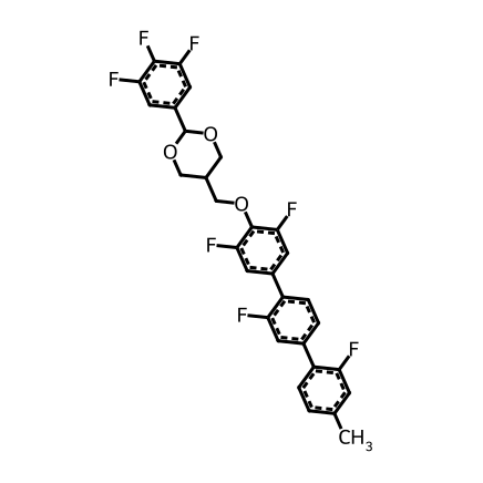 Cc1ccc(-c2ccc(-c3cc(F)c(OCC4COC(c5cc(F)c(F)c(F)c5)OC4)c(F)c3)c(F)c2)c(F)c1